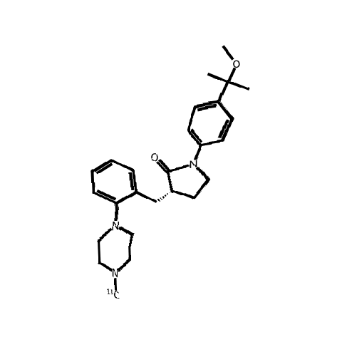 COC(C)(C)c1ccc(N2CC[C@H](Cc3ccccc3N3CCN([11CH3])CC3)C2=O)cc1